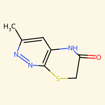 Cc1cc2c(nn1)SCC(=O)N2